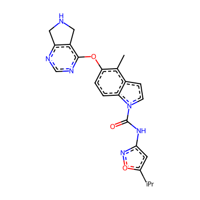 Cc1c(Oc2ncnc3c2CNC3)ccc2c1ccn2C(=O)Nc1cc(C(C)C)on1